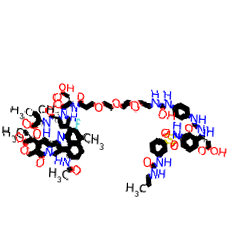 CCCNC(=O)Nc1cccc(S(=O)(=O)Nc2cccc([C@@H](CC(=O)O)NC(=O)Nc3ccc(NC(O)NCCOCCOCCOCCC(=O)N[C@@H](CC(=O)O)C(=O)N4CCC[C@H]4C(=O)N[C@H](C(=O)O[C@]4(CC)C(=O)OCc5c4cc4n(c5=O)Cc5c-4nc4cc(F)c(C)c6c4c5[C@@H](NC(C)=O)CC6)C(C)C)cc3)c2)c1